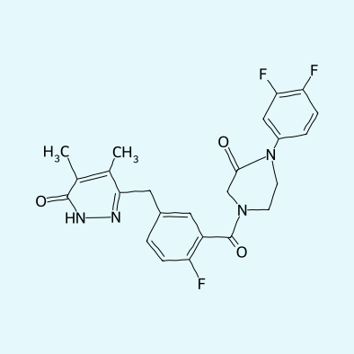 Cc1c(Cc2ccc(F)c(C(=O)N3CCN(c4ccc(F)c(F)c4)C(=O)C3)c2)n[nH]c(=O)c1C